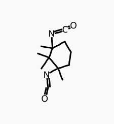 CC1(N=C=O)CCCC(C)(N=C=O)C1(C)C